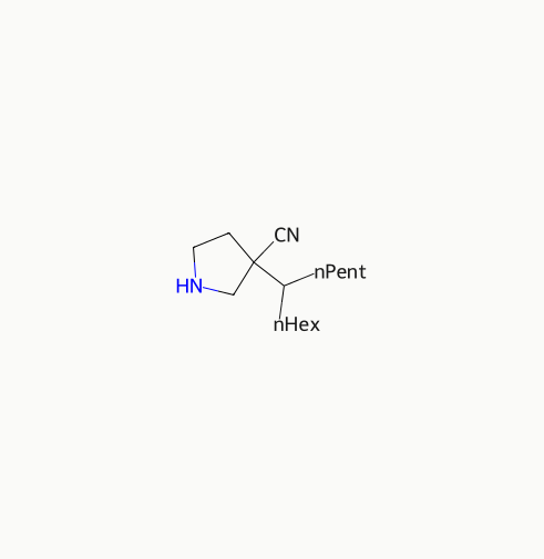 CCCCCCC(CCCCC)C1(C#N)CCNC1